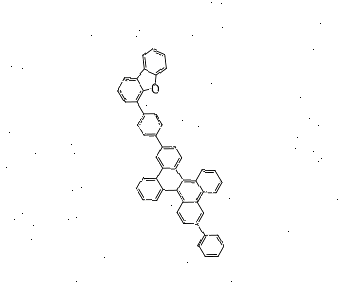 c1ccc(-c2ccc3c(c2)c2ccccc2c2c4ccc(-c5ccc(-c6cccc7c6oc6ccccc67)cc5)cc4c4ccccc4c32)cc1